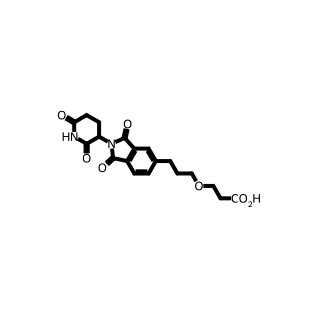 O=C(O)CCOCCCc1ccc2c(c1)C(=O)N(C1CCC(=O)NC1=O)C2=O